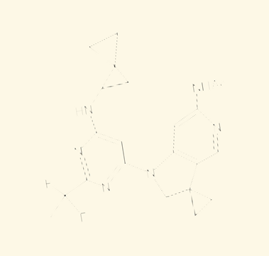 CC(=O)Nc1cc2c(cn1)C1(CC1)CN2c1cc(NC2CC23CC3)nc(C(C)(F)F)n1